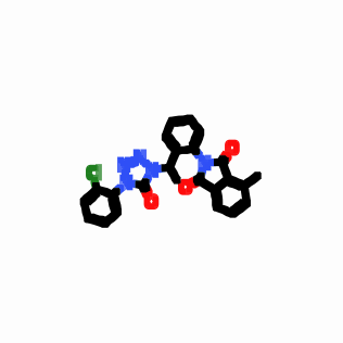 Cc1cccc2c1C(=O)N(c1ccccc1C(C)n1nnn(-c3ccccc3Cl)c1=O)C2=O